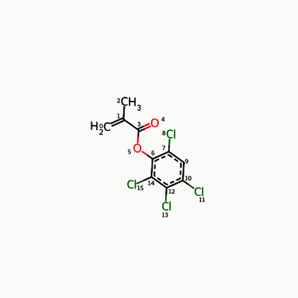 C=C(C)C(=O)Oc1c(Cl)cc(Cl)c(Cl)c1Cl